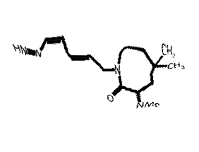 CNC1CC(C)(C)CCN(C/C=C/C=C\N=N)C1=O